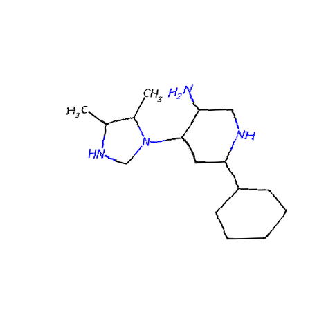 CC1NCN(C2CC(C3CCCCC3)NCC2N)C1C